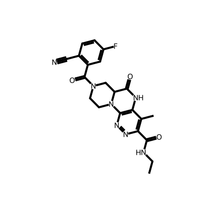 CCNC(=O)c1nnc2c(c1C)NC(=O)C1CN(C(=O)c3cc(F)ccc3C#N)CCN21